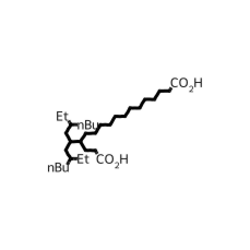 CCCCC(CC)CC(CC(CC)CCCC)C(CCCCCCCCCCCCC(=O)O)CCC(=O)O